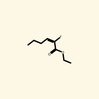 CCC/C=C(/F)C(=O)OCC